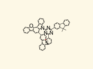 CC1(C)c2ccccc2-c2ccc(-c3nc(-c4ccccc4)nc(-n4c5ccccc5c5c6oc7ccccc7c6cc(-c6ccc7sc8ccccc8c7c6)c54)n3)cc21